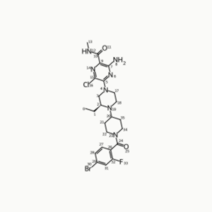 CC[C@H]1CN(c2nc(N)c(C(=O)NC)nc2Cl)CCN1C1CCN(C(=O)c2ccc(Br)cc2F)CC1